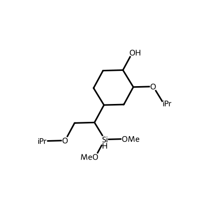 CO[SiH](OC)C(COC(C)C)C1CCC(O)C(OC(C)C)C1